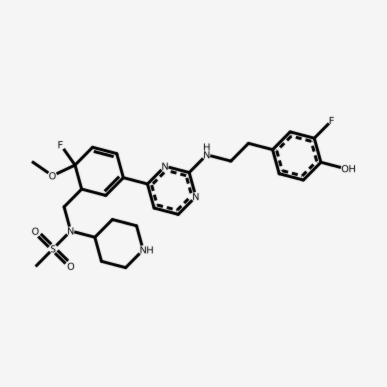 COC1(F)C=CC(c2ccnc(NCCc3ccc(O)c(F)c3)n2)=CC1CN(C1CCNCC1)S(C)(=O)=O